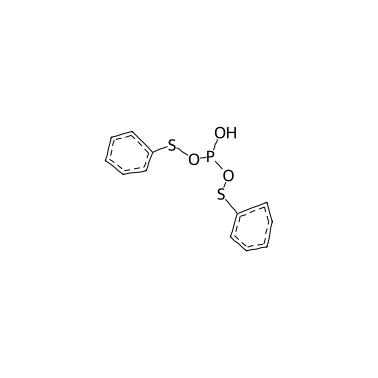 OP(OSc1ccccc1)OSc1ccccc1